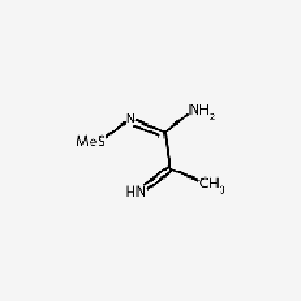 CS/N=C(/N)C(C)=N